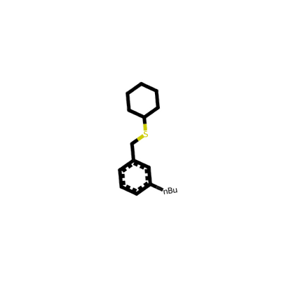 CCCCc1cccc(CSC2CCCCC2)c1